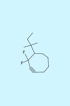 CCC(C)(C)C1CCCCC#CC1(F)F